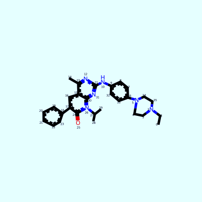 CCN1CCN(c2ccc(Nc3nc(C)c4cc(-c5ccccc5)c(=O)n(C(C)C)c4n3)cc2)CC1